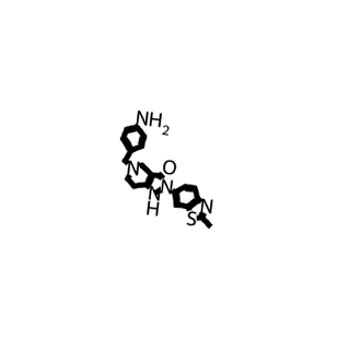 Cc1nc2ccc(-n3[nH]c4c(c3=O)CN(Cc3ccc(N)cc3)CC4)cc2s1